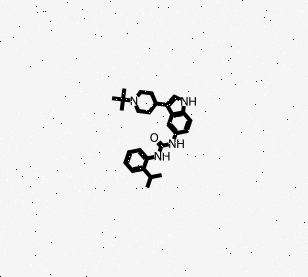 CC(C)c1ccccc1NC(=O)Nc1ccc2[nH]cc(C3CCN(C(C)(C)C)CC3)c2c1